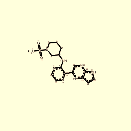 CS(=O)(=O)N1CCCC(Nc2nccnc2-c2cnc3[nH]ccc3n2)C1